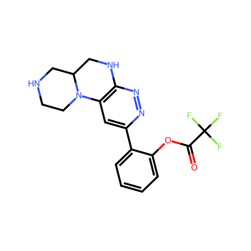 O=C(Oc1ccccc1-c1cc2c(nn1)NCC1CNCCN21)C(F)(F)F